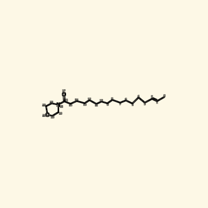 CC=CCCCCCCCCCCCCCC(=O)N1CCOCC1